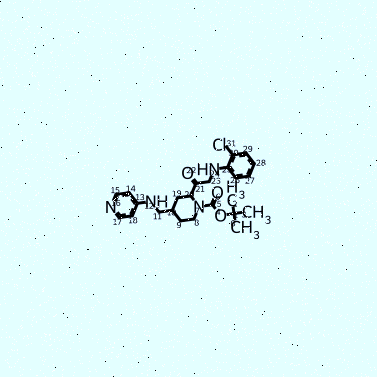 CC(C)(C)OC(=O)N1CCC(CNc2ccncc2)CC1C(=O)CNc1ccccc1Cl